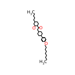 CCCCCCCCCOc1ccc(C2CCC(CC(=O)C3CCC(CCCCC)CC3=O)CC2)cc1